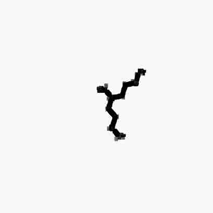 CC(C)OCCN(CCOC(C)C)C(C)(C)C